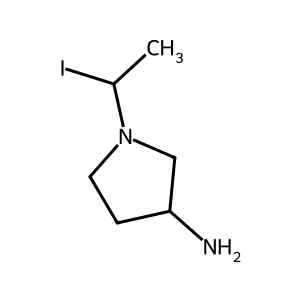 CC(I)N1CCC(N)C1